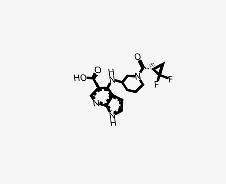 O=C(O)c1cnc2[nH]ccc2c1NC1CCCN(C(=O)[C@@H]2CC2(F)F)C1